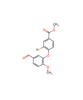 COC(=O)c1ccc(Oc2cc(C=O)ccc2OC)c(Br)c1